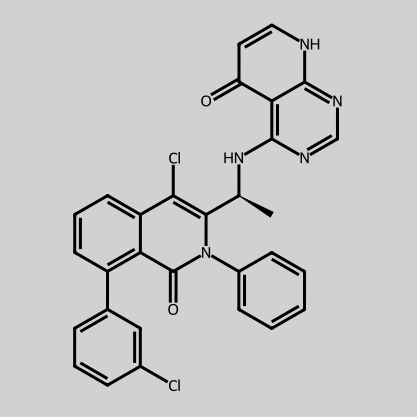 C[C@H](Nc1ncnc2[nH]ccc(=O)c12)c1c(Cl)c2cccc(-c3cccc(Cl)c3)c2c(=O)n1-c1ccccc1